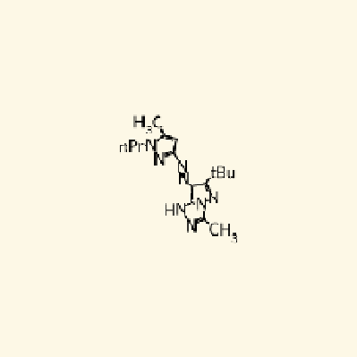 CCCn1nc(/N=N/c2c(C(C)(C)C)nn3c(C)n[nH]c23)cc1C